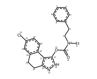 CCN(CCc1ccccc1)C(=O)Oc1[nH]nc2c1-c1ccc(Cl)cc1CC2